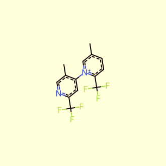 Cc1ccc(C(F)(F)F)[n+](-c2cc(C(F)(F)F)ncc2C)c1